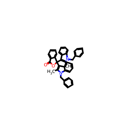 Cc1c(C2(c3c(C)n(Cc4ccccc4)c4ccccc34)OC(=O)c3ccccc32)c2ccccc2n1Cc1ccccc1